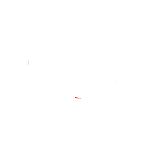 C[C@@H]1CCC[C@@H](Oc2ccc(O)c(Br)c2)O1